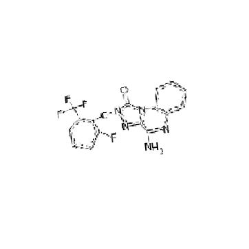 Nc1nc2ccccc2n2c(=O)n(Cc3c(F)cccc3C(F)(F)F)nc12